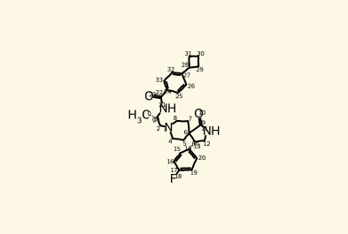 C[C@@H](CN1CCC2(CC1)C(=O)NC[C@@H]2c1ccc(F)cc1)NC(=O)c1ccc(C2CCC2)cc1